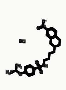 CC(C)Oc1ccc(S(=O)(=O)NCCCCN2CCc3ccc([N+](=O)[O-])cc3C2)cc1.Cl